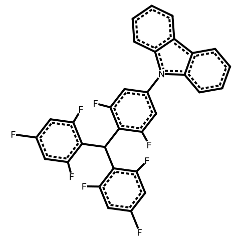 Fc1cc(F)c(C(c2c(F)cc(F)cc2F)c2c(F)cc(-n3c4ccccc4c4ccccc43)cc2F)c(F)c1